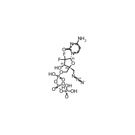 [N-]=[N+]=NC[C@]1(COP(=O)(O)OP(=O)(O)OP(=O)(O)O)O[C@@H](n2ccc(N)nc2=O)C(F)(F)[C@@H]1O